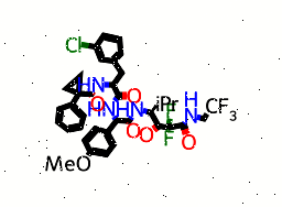 COc1ccc(C(NC(=O)C(Cc2cccc(Cl)c2)NC(=O)C2(c3ccccc3)CC2)C(=O)N[C@H](C(=O)C(F)(F)C(=O)NCC(F)(F)F)C(C)C)cc1